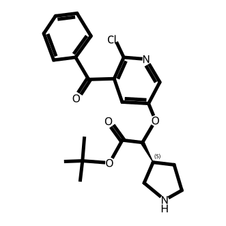 CC(C)(C)OC(=O)C(Oc1cnc(Cl)c(C(=O)c2ccccc2)c1)[C@H]1CCNC1